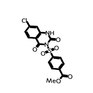 COC(=O)c1ccc(S(=O)(=O)n2c(=O)[nH]c3cc(Cl)ccc3c2=O)cc1